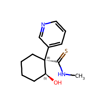 CNC(=S)[C@@]1(c2cccnc2)CCCC[C@@H]1O